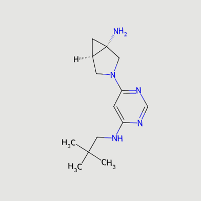 CC(C)(C)CNc1cc(N2C[C@H]3C[C@@]3(N)C2)ncn1